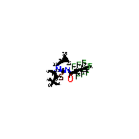 Cc1c(C(C)(C)C)s/c(=N\C(=O)C(F)(F)C(F)(F)C(F)(F)F)n1CC1CC1